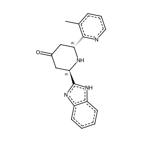 Cc1cccnc1[C@H]1CC(=O)C[C@H](c2nc3ccccc3[nH]2)N1